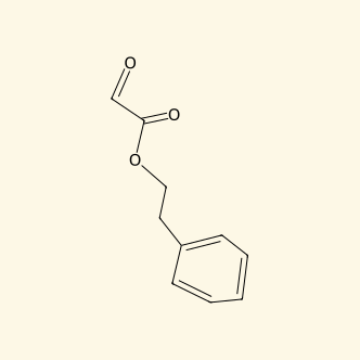 O=CC(=O)OCCc1ccccc1